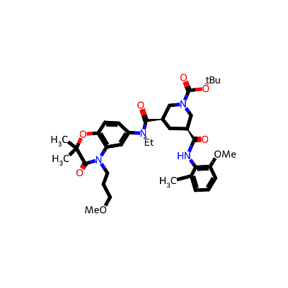 CCN(C(=O)[C@@H]1C[C@H](C(=O)Nc2c(C)cccc2OC)CN(C(=O)OC(C)(C)C)C1)c1ccc2c(c1)N(CCCOC)C(=O)C(C)(C)O2